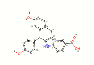 COc1ccc(Cc2[nH]c3ccc(C(=O)O)cc3c2Cc2ccc(OC)cc2)cc1